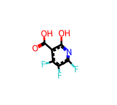 O=C(O)c1c(O)nc(F)c(F)c1F